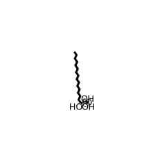 CCCCCCCCCCCCCCCC(O)P(=O)(O)O